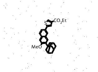 CCOC(=O)c1csc(-c2ccc3cc(OC)c(C45CC6CC(CC(C6)C4)C5)cc3c2)c1